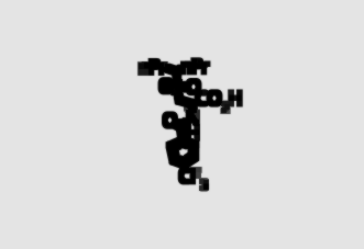 CCCC(CCC)S(=O)(=O)C[C@H](NC(=O)c1ccc(C(F)(F)F)cc1)C(=O)O